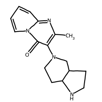 Cc1nc2ccccn2c(=O)c1N1CCC2NCCC2C1